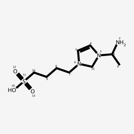 CC(N)N1C=CN(CCCCS(=O)(=O)O)C1